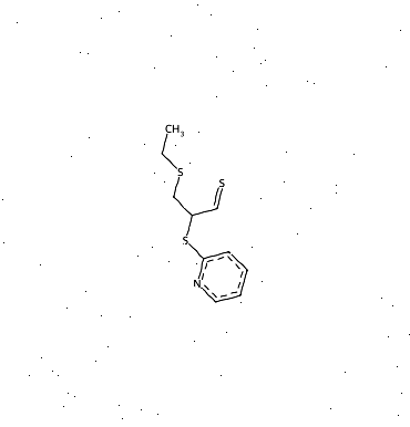 CCSCC(C=S)Sc1ccccn1